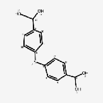 OC(O)c1ccc(Sc2ccc(C(O)O)cc2)cc1